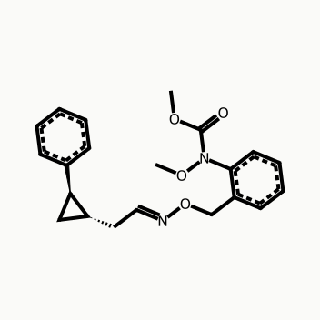 COC(=O)N(OC)c1ccccc1CO/N=C/C[C@@H]1C[C@H]1c1ccccc1